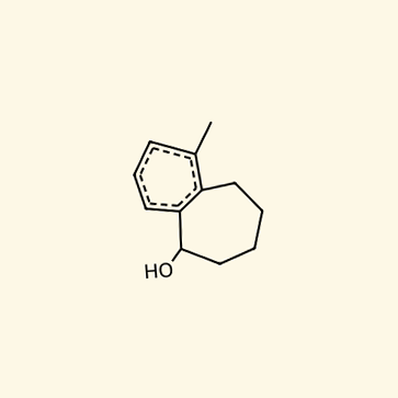 Cc1cccc2c1CCCCC2O